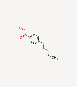 CCCCCc1ccc(C(=O)C=O)cc1